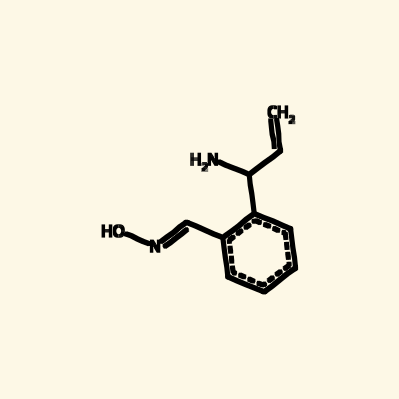 C=CC(N)c1ccccc1C=NO